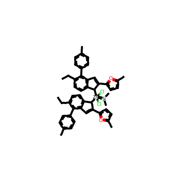 CCc1ccc2c(c1-c1ccc(C)cc1)C=C(c1ccc(C)o1)[CH]2[Zr]([Cl])([Cl])([CH]1C(c2ccc(C)o2)=Cc2c1ccc(CC)c2-c1ccc(C)cc1)=[Si](C)C